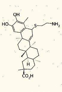 Cc1c(O)c(O)cc2c1C(SCCN)C=C1[C@@]2(C)CC[C@@]2(C)[C@@H]3C[C@](C)(C(=O)O)CC[C@]3(C)CC[C@]12C